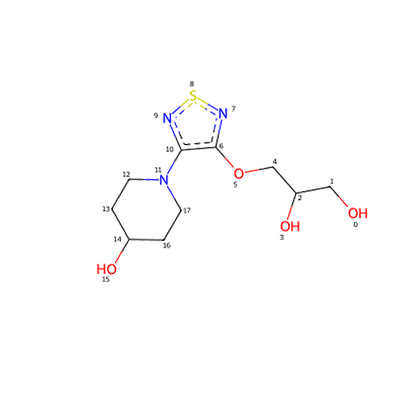 OCC(O)COc1nsnc1N1CCC(O)CC1